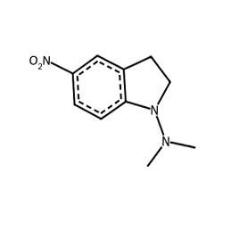 CN(C)N1CCc2cc([N+](=O)[O-])ccc21